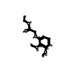 CCOC(=O)COc1cccc(OC)c1OC